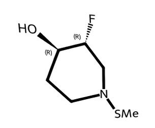 CSN1CC[C@@H](O)[C@H](F)C1